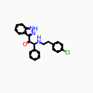 O=C(c1n[nH]c2ccccc12)C(NCCc1ccc(Cl)cc1)c1ccccc1